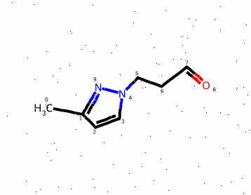 Cc1ccn(CCC=O)n1